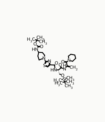 C=C(NC(=O)[C@H](CO[Si](C)(C)C(C)(C)C)NC(=O)c1csc(N2CCC(NC(=O)OC(C)(C)C)CC2)n1)C(=O)N1CCCCC1